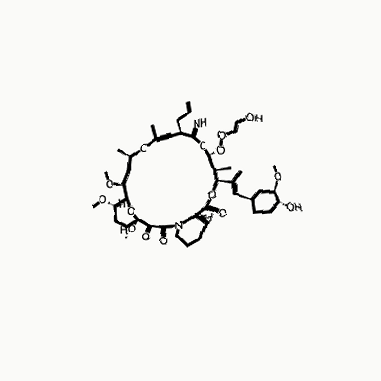 C=CC[C@@H]1/C=C(\C)C[C@H](C)C[C@H](OC)[C@H]2O[C@@](O)(C(=O)C(=O)N3CCCC[C@H]3C(=O)O[C@H](/C(C)=C/[C@@H]3CC[C@@H](O)[C@H](OC)C3)[C@H](C)[C@@H](OOCCO)CC1=N)[C@H](C)C[C@@H]2OC